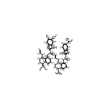 C=CCN1CCC(N(C)C)c2cccc(C[S+]([O-])c3nc4cc(C(C)=O)ccc4[nH]3)c21.C=CCN1CCC(N(C)C)c2cccc(C[S+]([O-])c3nc4cc(F)c(OC)cc4[nH]3)c21